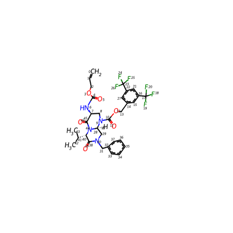 C=CCOC(=O)N[C@H]1CN(C(=O)OCc2cc(C(F)(F)F)cc(C(F)(F)F)c2)[C@H]2CN(Cc3ccccc3)C(=O)[C@H](C(C)C)N2C1=O